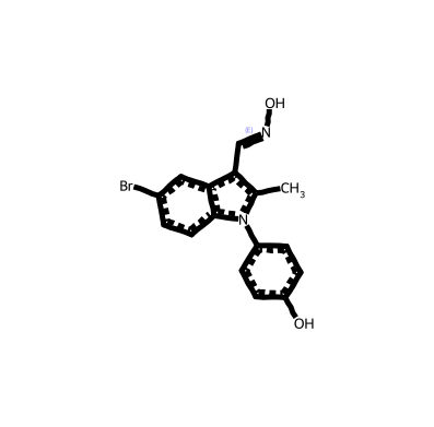 Cc1c(/C=N/O)c2cc(Br)ccc2n1-c1ccc(O)cc1